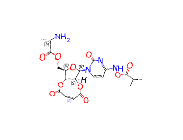 CC(C)C(=O)ONc1ccn([C@@H]2O[C@H](COC(=O)[C@H](C)N)C3OC(=O)/C=C\C(=O)O[C@@H]32)c(=O)n1